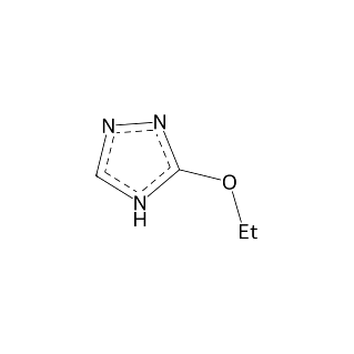 CCOc1nnc[nH]1